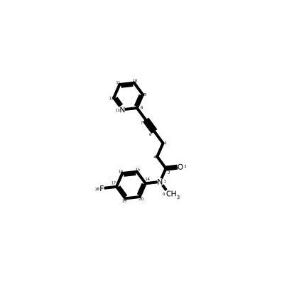 CN(C(=O)CCC#Cc1ccccn1)c1ccc(F)cc1